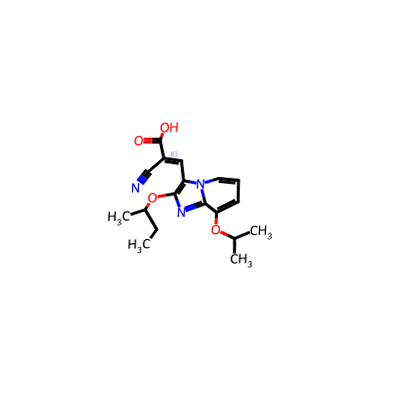 CCC(C)Oc1nc2c(OC(C)C)cccn2c1/C=C(\C#N)C(=O)O